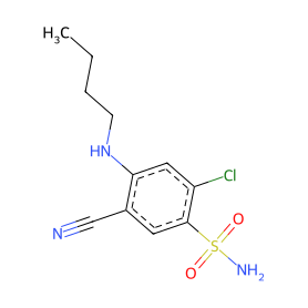 CCCCNc1cc(Cl)c(S(N)(=O)=O)cc1C#N